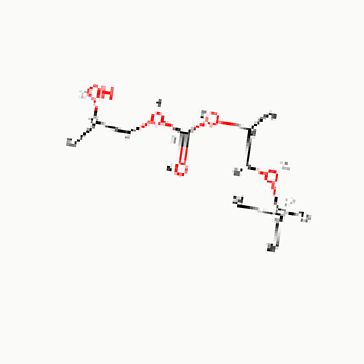 CC(O)COC(=O)OC(C)CO[Si](C)(C)C